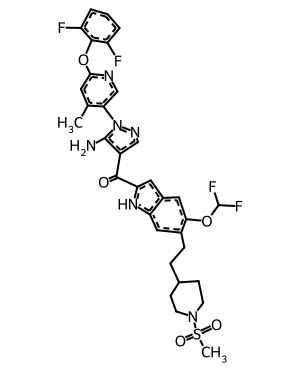 Cc1cc(Oc2c(F)cccc2F)ncc1-n1ncc(C(=O)c2cc3cc(OC(F)F)c(CCC4CCN(S(C)(=O)=O)CC4)cc3[nH]2)c1N